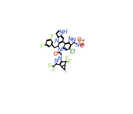 C[C@@H]1C2c3c(C(F)F)nn(CC(=O)NC(Cc4cc(F)cc(F)c4)c4nc5cc[nH]c5cc4-c4ccc(Cl)c5c(NS(C)(=O)=O)nn(C)c45)c3C(F)(F)C21